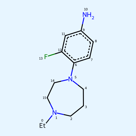 CCN1CCCN(c2ccc(N)cc2F)CC1